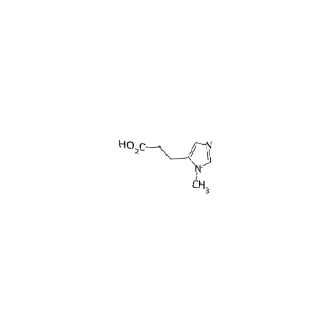 Cn1cncc1CCC(=O)O